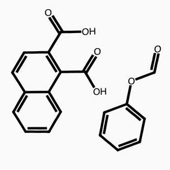 O=C(O)c1ccc2ccccc2c1C(=O)O.O=COc1ccccc1